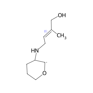 C/C(=C\CNC1[CH]OCCC1)CO